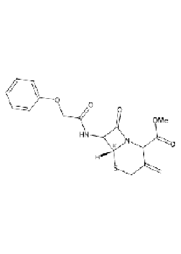 C=C1CS[C@@H]2C(NC(=O)COc3ccccc3)C(=O)N2C1C(=O)OC